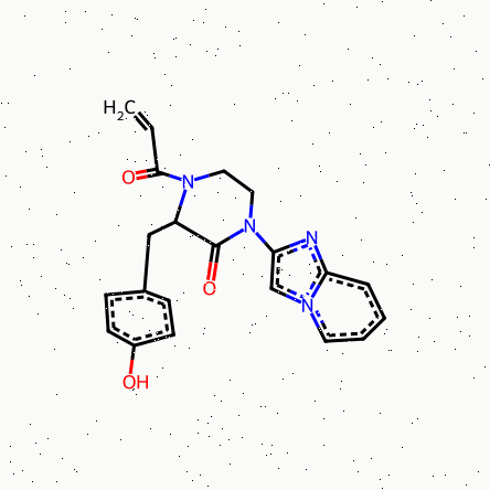 C=CC(=O)N1CCN(c2cn3ccccc3n2)C(=O)C1Cc1ccc(O)cc1